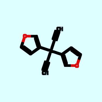 C#C[Si](C#C)(c1ccoc1)c1ccoc1